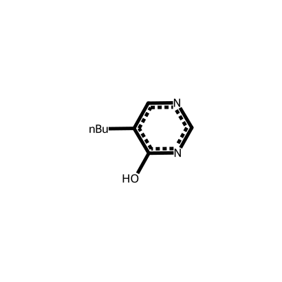 CCCCc1cncnc1O